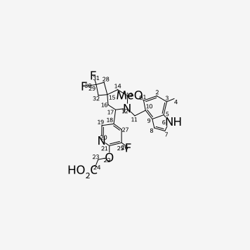 COc1cc(C)c2[nH]ccc2c1CN1CCC2(CC1c1cnc(OCC(=O)O)c(F)c1)CC(F)(F)C2